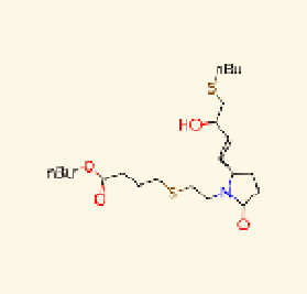 CCCCOC(=O)CCCSCCN1C(=O)CC[C@@H]1C=CC(O)CSCCCC